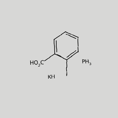 O=C(O)c1ccccc1I.P.[KH]